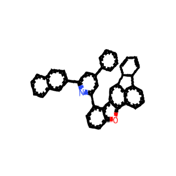 C1=CC2c3cccc4c3c(cc3c4oc4cccc(-c5cc(-c6ccccc6)cc(-c6ccc7ccccc7c6)n5)c43)C2C=C1